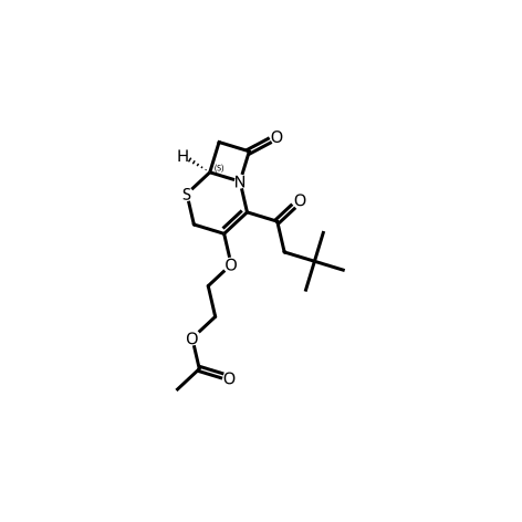 CC(=O)OCCOC1=C(C(=O)CC(C)(C)C)N2C(=O)C[C@@H]2SC1